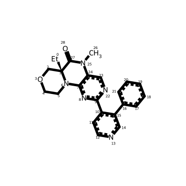 CC[C@]12COCCN1c1nc(-c3ccncc3-c3ccccc3)ncc1N(C)C2=O